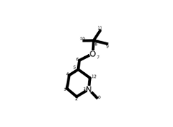 CN1CCCC(COC(C)(C)C)C1